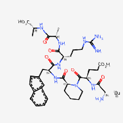 CC[C@H](C)[C@H](N)C(=O)N[C@H](CCC(=O)O)C(=O)N1CCCC[C@H]1C(=O)N[C@@H](Cc1ccc2ccccc2c1)C(=O)N[C@@H](CCCNC(=N)N)C(=O)N[C@@H](C)C(=O)N[C@H](C)C(=O)O